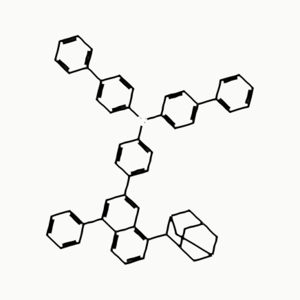 c1ccc(-c2ccc(N(c3ccc(-c4ccccc4)cc3)c3ccc(-c4cc(-c5ccccc5)c5cccc(C6C7CC8CC(C7)CC6C8)c5c4)cc3)cc2)cc1